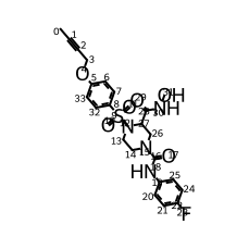 CC#CCOc1ccc(S(=O)(=O)N2CCN(C(=O)Nc3ccc(F)cc3)CC2C(=O)NO)cc1